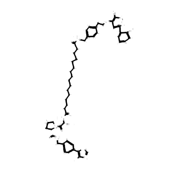 Cc1ncsc1-c1ccc(CNC(=O)[C@@H]2C[C@@H](O)CN2C(=O)[C@@H](NC(=O)CCCCCCCCCCCCCCC(=O)N(C)Cc2ccc(CCOc3cc(-c4ccccc4O)nnc3N)cc2)C(C)(C)C)cc1